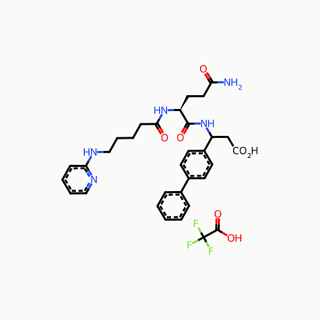 NC(=O)CC[C@H](NC(=O)CCCCNc1ccccn1)C(=O)NC(CC(=O)O)c1ccc(-c2ccccc2)cc1.O=C(O)C(F)(F)F